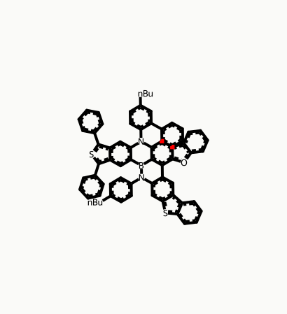 CCCCc1ccc(N2B3c4cc5c(-c6ccccc6)sc(-c6ccccc6)c5cc4N(c4ccc(CCCC)cc4-c4ccccc4)c4cc5c(oc6ccccc65)c(c43)-c3cc4c(cc32)sc2ccccc24)cc1